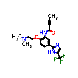 CC#CC(=O)Nc1cc(-c2ncc(C(F)(F)F)[nH]2)ccc1OCCN(C)C